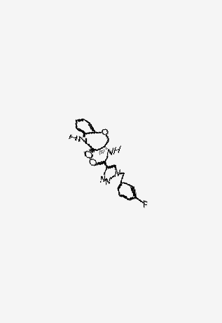 O=C(N[C@H]1COc2ccccc2NC1=O)c1cn(Cc2cccc(F)c2)nn1